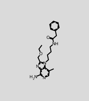 CCOCc1nc2c(N)ncc(C)c2n1CCCCNC(=O)Cc1ccccc1